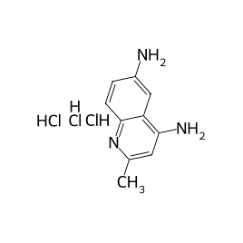 Cc1cc(N)c2cc(N)ccc2n1.Cl.Cl.Cl